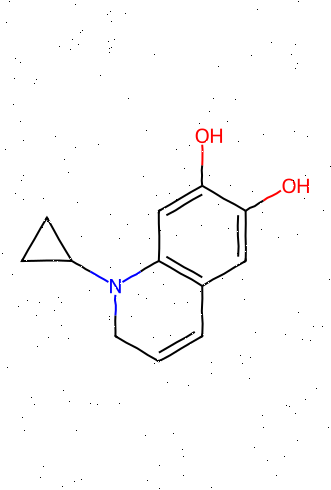 Oc1cc2c(cc1O)N(C1CC1)CC=C2